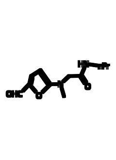 CCCNC(=O)CN(C)c1ccc(C=O)o1